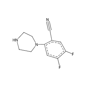 N#Cc1cc(F)c(F)cc1N1CCNCC1